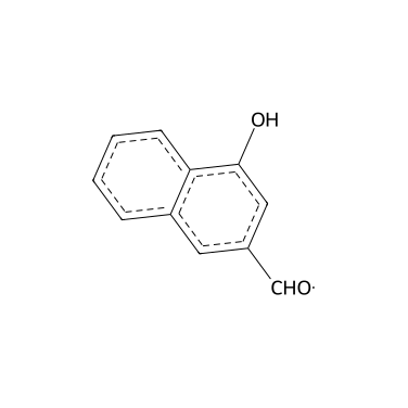 O=[C]c1cc(O)c2ccccc2c1